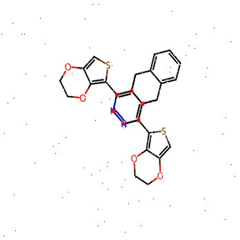 c1ccc2c(c1)C1c3ccccc3C2c2c(-c3scc4c3OCCO4)nnc(-c3scc4c3OCCO4)c21